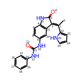 CC(=C1C(=O)Nc2ccc(NC(=O)Nc3ccccc3)cc21)c1ccc[nH]1